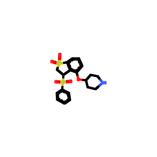 O=S1(=O)CC(S(=O)(=O)c2ccccc2)c2c(OC3CCNCC3)cccc21